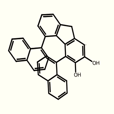 Oc1[c]c2c(c(-c3cccc4ccccc34)c1O)-c1c(cccc1-c1cccc3ccccc13)C2